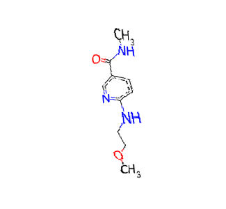 CNC(=O)c1ccc(NCCOC)nc1